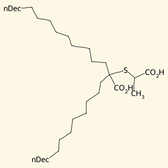 CCCCCCCCCCCCCCCCCCCC(CCCCCCCCCCCCCCCCCC)(SC(C)C(=O)O)C(=O)O